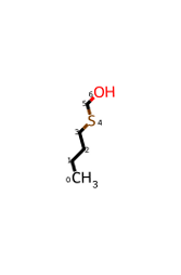 CCCCSCO